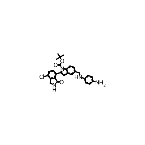 CC(C)(C)OC(=O)n1c(-c2ccc(Cl)c3c2C(=O)NC3)cc2cc(CNc3ccc(N)cc3)ccc21